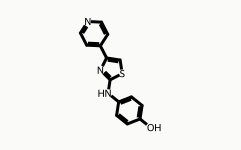 Oc1ccc(Nc2nc(-c3ccncc3)cs2)cc1